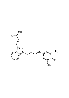 Cc1cc(OCCCc2cn(C=CC(=O)O)c3ccccc23)cc(C)c1Cl